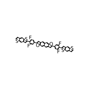 Fc1cc(-c2cc3cc4cc5oc(-c6cc(F)c(-c7cc8cc9sccc9cc8s7)c(F)c6)cc5cc4cc3o2)cc(F)c1-c1cc2cc3sccc3cc2s1